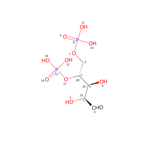 O=C[C@@H](O)[C@H](O)[C@@H](COP(=O)(O)O)OP(=O)(O)O